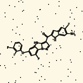 Nc1cc2[nH]c(C(=O)c3cnn4c3[nH]c3cc(Oc5cccc(F)c5F)cc(F)c34)cc2cc1F